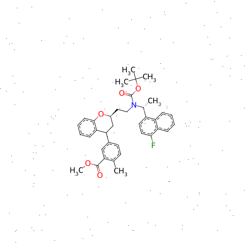 COC(=O)c1cc(C2C[C@H](CCN(C(=O)OC(C)(C)C)[C@H](C)c3ccc(F)c4ccccc34)Oc3ccccc32)ccc1C